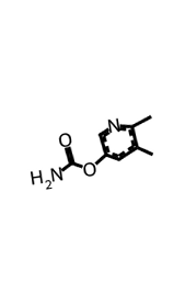 Cc1cc(OC(N)=O)cnc1C